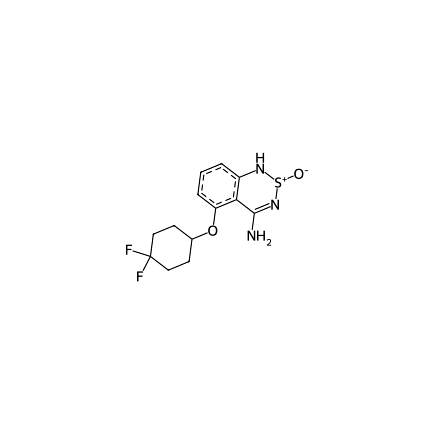 NC1=N[S+]([O-])Nc2cccc(OC3CCC(F)(F)CC3)c21